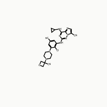 N#Cc1cc(Nc2nc(NC3CC3)c3ncc(C#N)n3n2)c(Cl)c(N2CCN(C3(C#N)COC3)CC2)c1